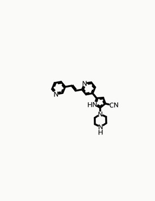 N#Cc1cc(-c2ccnc(C=Cc3cccnc3)c2)[nH]c1N1CCNCC1